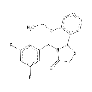 CCOc1ccccc1C1SCC(=O)N1Cc1cc(F)cc(F)c1